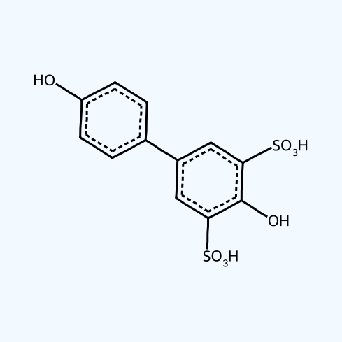 O=S(=O)(O)c1cc(-c2ccc(O)cc2)cc(S(=O)(=O)O)c1O